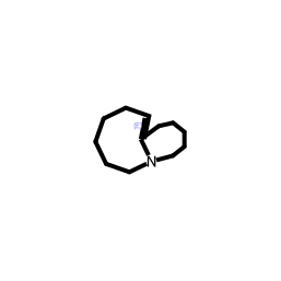 C1=C2\CCCCCN2CCCCC/1